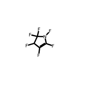 FC1=C(F)N(F)C(F)(F)C1F